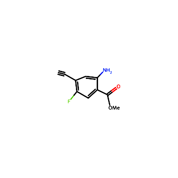 C#Cc1cc(N)c(C(=O)OC)cc1F